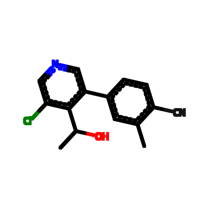 Cc1cc(-c2cncc(Cl)c2C(C)O)ccc1C#N